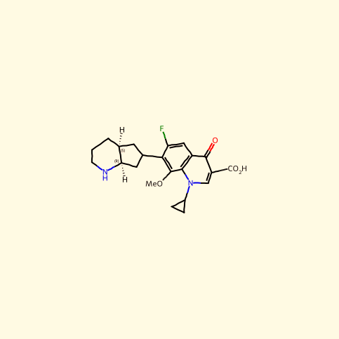 COc1c(C2C[C@@H]3CCCN[C@@H]3C2)c(F)cc2c(=O)c(C(=O)O)cn(C3CC3)c12